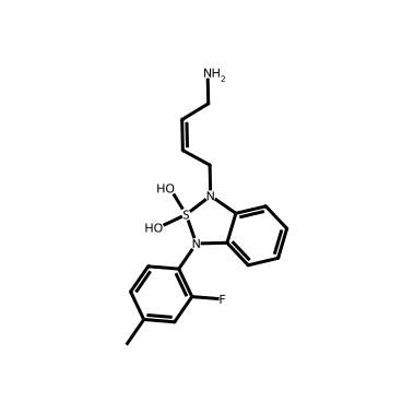 Cc1ccc(N2c3ccccc3N(C/C=C\CN)S2(O)O)c(F)c1